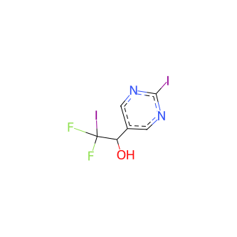 OC(c1cnc(I)nc1)C(F)(F)I